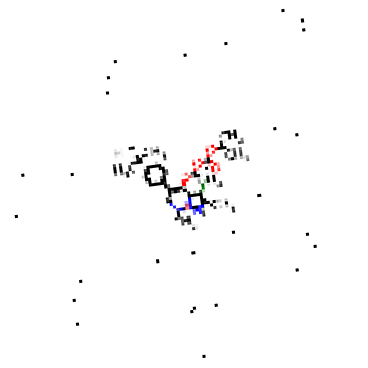 CCn1nc(C)c(Cl)c1/C(OC(C)OC(=O)OC(C)C)=C(\C=N/C)c1ccc(C(C)(C)C)cc1